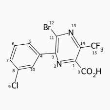 O=C(O)c1nc(-c2cccc(Cl)c2)c(Br)nc1C(F)(F)F